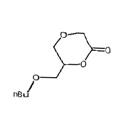 CCCCOCC1COCC(=O)O1